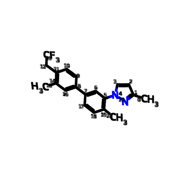 Cc1ccn(-c2cc(-c3ccc(CC(F)(F)F)c(C)c3)ccc2C)n1